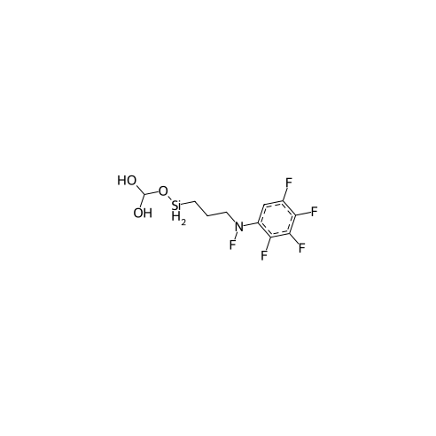 OC(O)O[SiH2]CCCN(F)c1cc(F)c(F)c(F)c1F